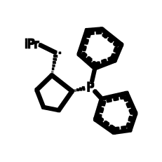 CC(C)[CH][C@H]1CCC[C@H]1P(c1ccccc1)c1ccccc1